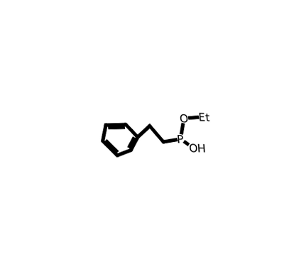 CCOP(O)CCc1ccccc1